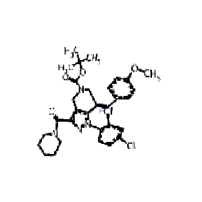 COc1ccc(/C=C2\CN(C(=O)OC(C)(C)C)Cc3c(C(=O)N4CCCCC4)nn(-c4ccc(Cl)cc4Cl)c32)cc1